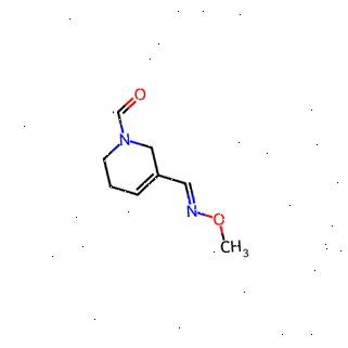 CON=CC1=CCCN([C]=O)C1